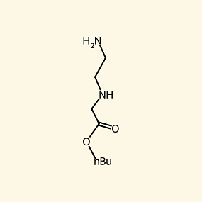 CCCCOC(=O)CNCCN